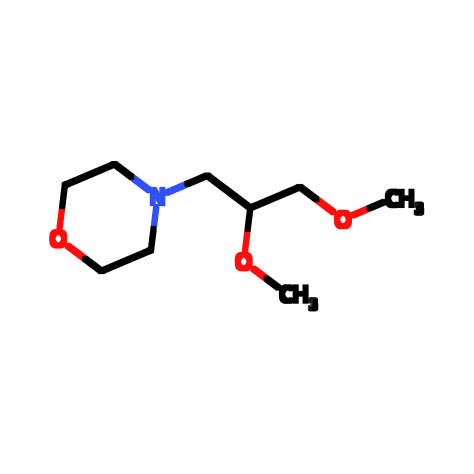 COCC(CN1CCOCC1)OC